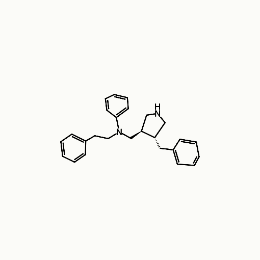 c1ccc(CCN(C[C@H]2CNC[C@@H]2Cc2ccccc2)c2ccccc2)cc1